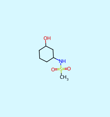 CS(=O)(=O)NC1CCCC(O)C1